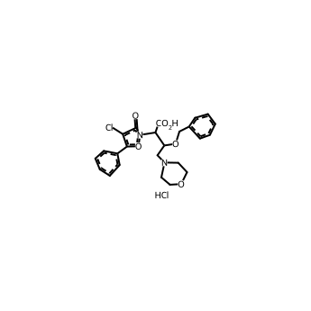 Cl.O=C(O)C(C(CN1CCOCC1)OCc1ccccc1)n1oc(-c2ccccc2)c(Cl)c1=O